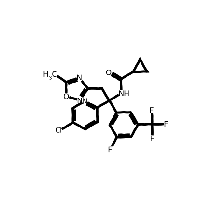 Cc1nc(CC(NC(=O)C2CC2)(c2cc(F)cc(C(F)(F)F)c2)c2ccc(Cl)cn2)no1